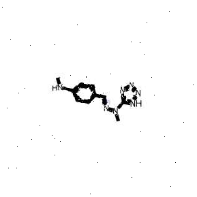 CNc1ccc(/C=N/N(C)c2nnn[nH]2)cc1